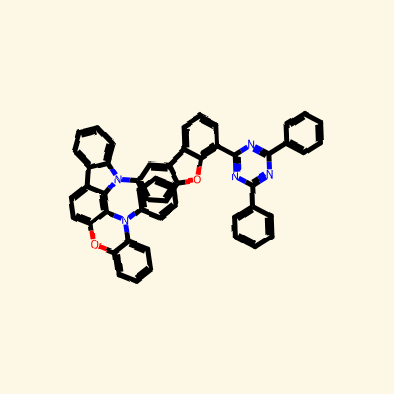 c1ccc(-c2nc(-c3ccccc3)nc(-c3cccc4c3oc3ccc(-n5c6ccccc6c6ccc7c(c65)N(c5ccccc5)c5ccccc5O7)cc34)n2)cc1